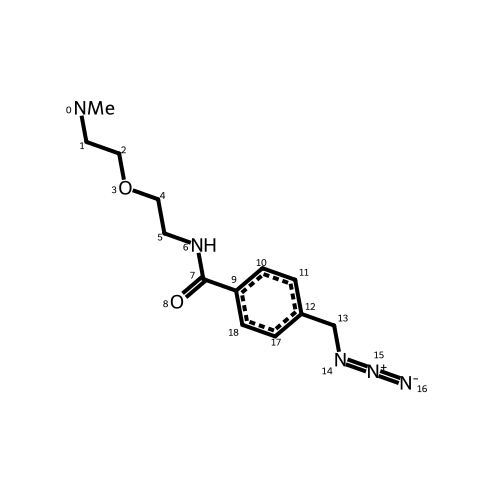 CNCCOCCNC(=O)c1ccc(CN=[N+]=[N-])cc1